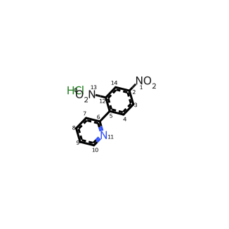 Cl.O=[N+]([O-])c1ccc(-c2ccccn2)c([N+](=O)[O-])c1